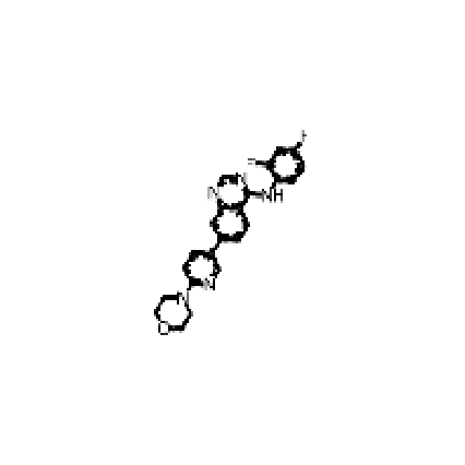 Fc1ccc(Nc2ncnc3cc(-c4ccc(N5CCOCC5)nc4)ccc23)c(F)c1